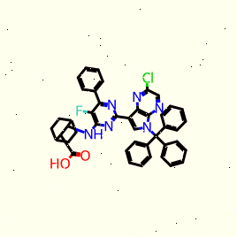 O=C(O)C1C2CCC(CC2)C1Nc1nc(-c2cn(C(c3ccccc3)(c3ccccc3)c3ccccc3)c3ncc(Cl)nc23)nc(-c2ccccc2)c1F